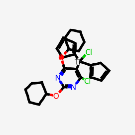 Clc1nc(OC2CCCCC2)nc(OC2CCCCC2)[c]1[Ti]([Cl])([C]1=CC=CC1)[C]1=CC=CC1